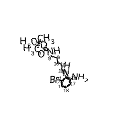 CC(C)(C)OC(=O)NCCCCCNc1c(N)cccc1Br